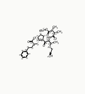 C#CCO[C@H](C)[C@H](NC(=O)[C@H](C)N(C)C(=O)OC(C)(C)C)C(=O)N1CCC[C@H]1CN(CCc1ccccc1)C(=O)C(F)(F)F